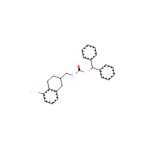 O=C(NCC1CCc2c(O)cccc2C1)OC(c1ccccc1)c1ccccc1